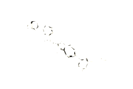 COc1cncc(-c2ccc3nc(Nc4cccc(-c5cnco5)c4)sc3c2)c1